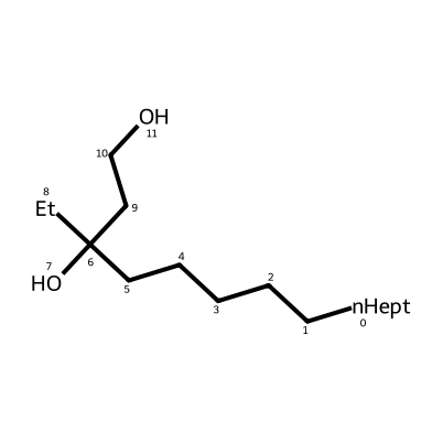 CCCCCCCCCCCCC(O)(CC)CCO